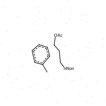 CCCCCCCCCCCCOC(C)=O.Cc1ccccc1